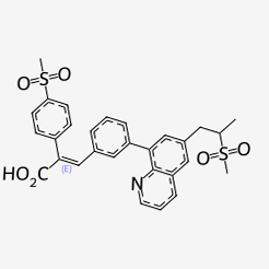 CC(Cc1cc(-c2cccc(/C=C(/C(=O)O)c3ccc(S(C)(=O)=O)cc3)c2)c2ncccc2c1)S(C)(=O)=O